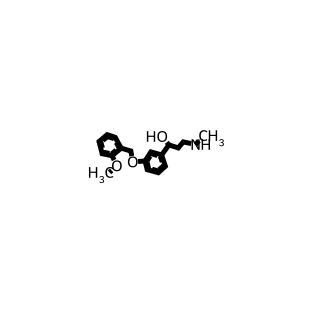 CNCCC(O)c1cccc(OCc2ccccc2OC)c1